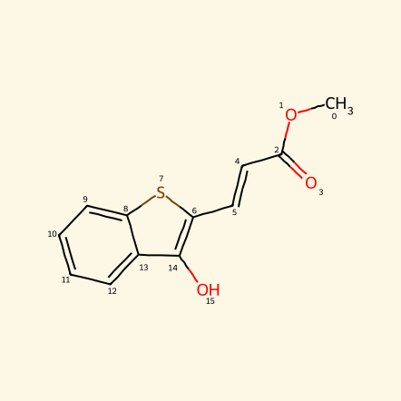 COC(=O)C=Cc1sc2ccccc2c1O